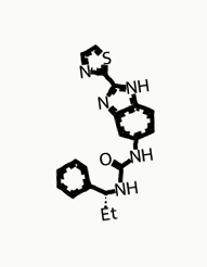 CC[C@@H](NC(=O)Nc1ccc2[nH]c(-c3nccs3)nc2c1)c1ccccc1